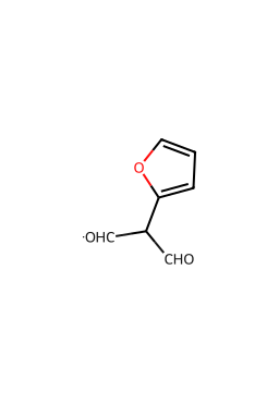 O=[C]C(C=O)c1ccco1